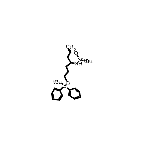 C=CCC(CCCO[Si](c1ccccc1)(c1ccccc1)C(C)(C)C)N[S+]([O-])C(C)(C)C